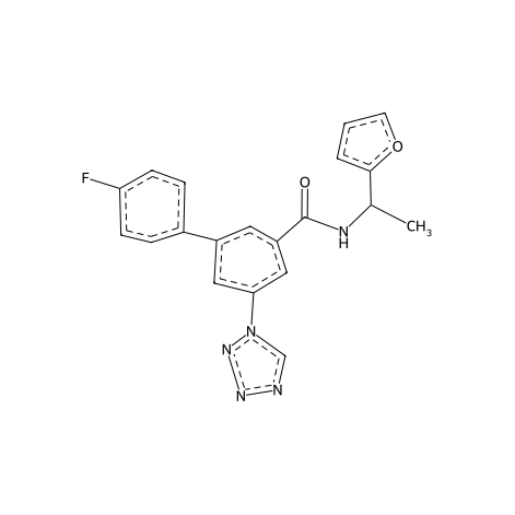 CC(NC(=O)c1cc(-c2ccc(F)cc2)cc(-n2cnnn2)c1)c1ccco1